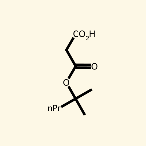 CCCC(C)(C)OC(=O)CC(=O)O